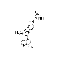 C[C@@H]1CN(c2ccc(C#N)c3ncccc23)C[C@@H]2c3ccc(NC[C@@H]4C[C@H](F)CN4)cc3CN12